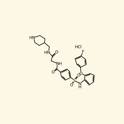 Cl.O=C(CNC(=O)c1ccc(S(=O)(=O)Nc2ccccc2Oc2ccc(F)cc2)cc1)NCC1CCNCC1